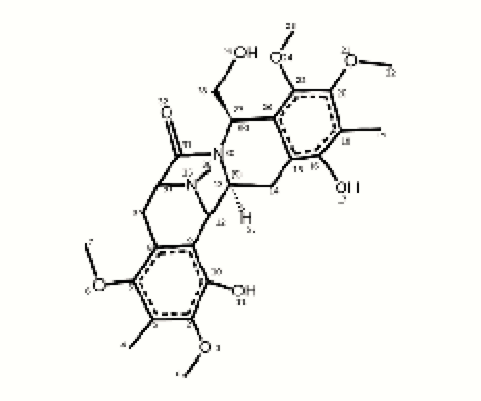 COc1c(C)c(OC)c2c(c1O)C1[C@@H]3Cc4c(O)c(C)c(OC)c(OC)c4[C@H](CO)N3C(=O)C(C2)N1C